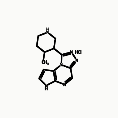 CC1CCNCC1c1nnc2cnc3[nH]ccc3n12.Cl